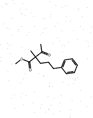 COC(=O)C(C)(CCCc1ccccc1)C(C)=O